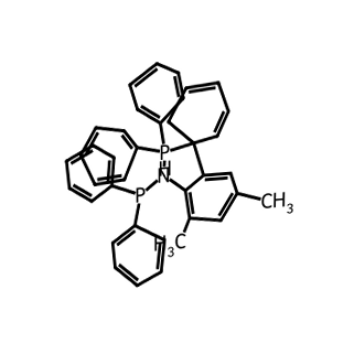 Cc1cc(C)c2c(c1)C1(C=CC=CC1)[PH](c1ccccc1)(c1ccccc1)N2P(c1ccccc1)c1ccccc1